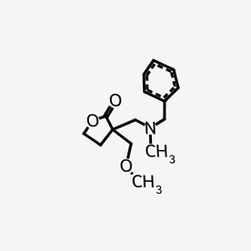 COCC1(CN(C)Cc2ccccc2)CCOC1=O